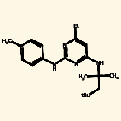 CCc1cc(NC(C)(C)CC(C)(C)C)nc(Nc2ccc(C)cc2)n1